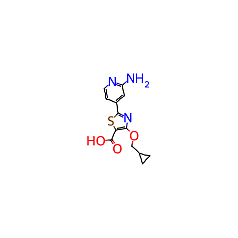 Nc1cc(-c2nc(OCC3CC3)c(C(=O)O)s2)ccn1